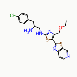 CCOCc1nc(NCC(N)Cc2ccc(Cl)cc2)sc1-c1nc2ccncc2s1